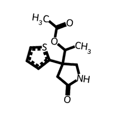 CC(=O)OC(C)C1(c2cccs2)CNC(=O)C1